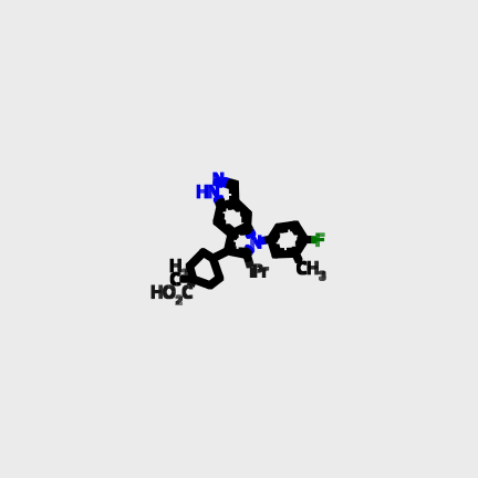 Cc1cc(-n2c(C(C)C)c(C3CCC(C)(C(=O)O)CC3)c3cc4[nH]ncc4cc32)ccc1F